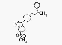 CC(CCN1CCC(n2cnc3cc(S(C)(=O)=O)ccc32)CC1)c1ccccc1